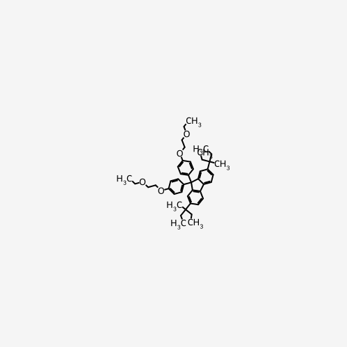 CCOCCOc1ccc(C2(c3ccc(OCCOCC)cc3)c3cc(C(C)(CC)CC)ccc3-c3ccc(C(C)(CC)CC)cc32)cc1